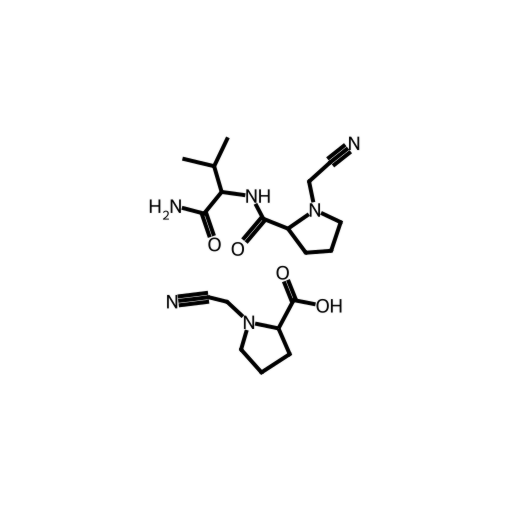 CC(C)C(NC(=O)C1CCCN1CC#N)C(N)=O.N#CCN1CCCC1C(=O)O